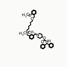 COc1ccccc1COCCCCCC[N+](C)(C)Cc1cccc(CN2CCC(OC(=O)NC(c3ccccc3)c3ccccc3)CC2)c1